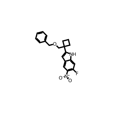 O=[N+]([O-])c1cc2cc(C3(COCc4ccccc4)CCC3)[nH]c2cc1F